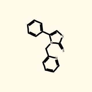 S=c1scc(-c2ccccc2)n1Cc1ccccn1